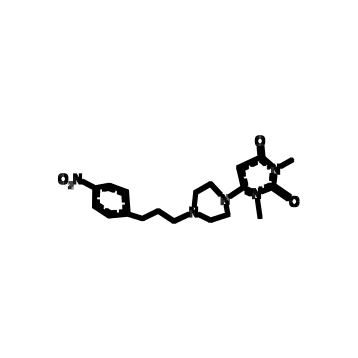 Cn1c(N2CCN(CCCc3ccc([N+](=O)[O-])cc3)CC2)cc(=O)n(C)c1=O